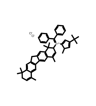 CC1=CCC(C)(C)c2cc3c(cc21)-c1cc2c(cc1C3)C(C)(C)[CH]([Zr+2]([C]1=CC(C(C)(C)C)=CC1C)=[C](c1ccccc1)c1ccccc1)C=C2C.[Cl-].[Cl-]